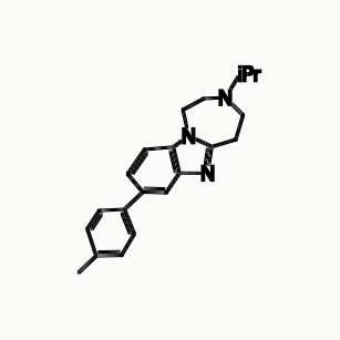 Cc1ccc(-c2ccc3c(c2)nc2n3CCN(C(C)C)CC2)cc1